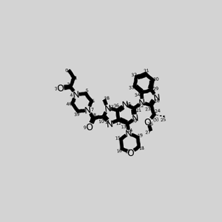 CCC(=O)N1CCN(C(=O)c2nc3c(N4CCOCC4)nc(-n4c([C@H](C)OC)nc5ccccc54)nc3n2C)CC1